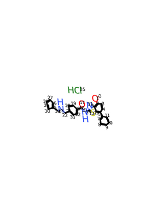 COc1ccc(-c2ccccc2)c2sc(NC(=O)c3ccc(CNCc4ccccc4)cc3)nc12.Cl